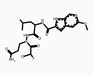 COc1cc2cc(C(=O)NC(CC(C)C)C(=O)NN(CCC(N)=O)C(=O)C(F)Cl)[nH]c2cn1